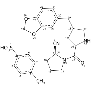 Cc1ccc(S(=O)(=O)O)cc1.N#C[C@@H]1CCCN1C(=O)C1CC(Cc2ccc3c(c2)OCO3)CN1